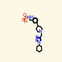 O=[SH](=O)NCc1cccc(C2CCN(Cc3cn(C4CCCCC4)nn3)CC2)c1